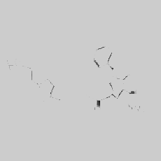 CNC(=O)c1cc(C(=O)NCCCC2CCN(CCO)CC2)cn(Cc2ccccc2)c1=O